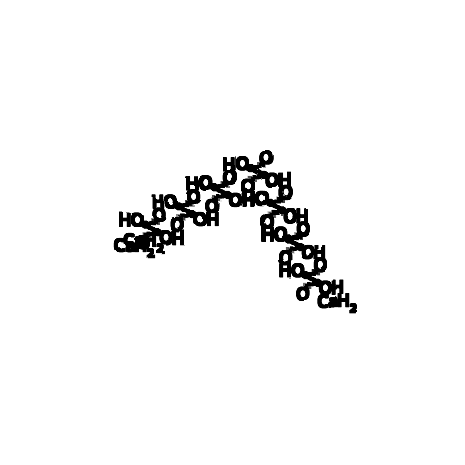 O=S(=O)(O)O.O=S(=O)(O)O.O=S(=O)(O)O.O=S(=O)(O)O.O=S(=O)(O)O.O=S(=O)(O)O.O=S(=O)(O)O.[CaH2].[CaH2].[CaH2]